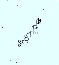 CC1=C(N2C(=O)C3(CCN(CC(O)c4cnc(-n5cnnn5)cn4)CC3)CC2C)COC1=O